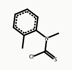 Cc1ccccc1N(C)C(=S)Cl